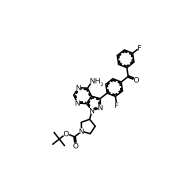 CC(C)(C)OC(=O)N1CCC(n2nc(-c3ccc(C(=O)c4cccc(F)c4)cc3F)c3c(N)ncnc32)C1